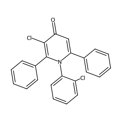 O=c1cc(-c2ccccc2)n(-c2ccccc2Cl)c(-c2ccccc2)c1Cl